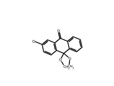 COC1(OC)c2ccccc2C(=O)c2cc(Cl)ccc21